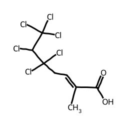 C/C(=C\CC(Cl)(Cl)C(Cl)C(Cl)(Cl)Cl)C(=O)O